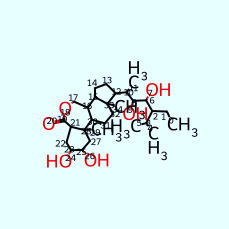 CCC(C(C)C)C(O)C(O)C(C)C1CCC2C3COC(=O)C4CC(O)C(O)CC4(C)C3CCC12C